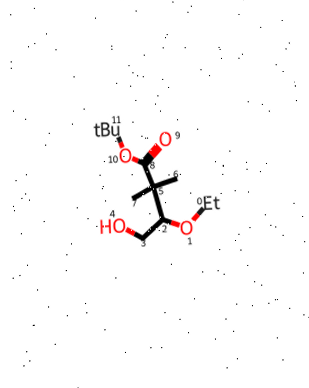 CCOC(CO)C(C)(C)C(=O)OC(C)(C)C